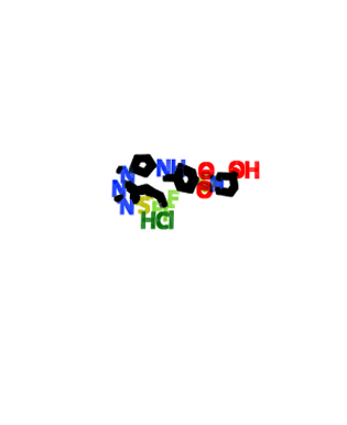 CN(c1ncnc2sc(CC(F)(F)F)cc12)[C@@H]1CC[C@H](NCc2ccc(S(=O)(=O)N3CCCC(O)C3)cc2)C1.Cl